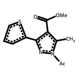 COC(=O)c1c(-c2cccs2)nn(C(C)=O)c1C